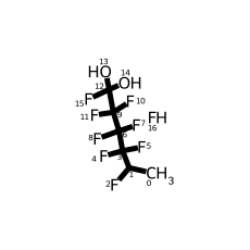 CC(F)C(F)(F)C(F)(F)C(F)(F)C(O)(O)F.F